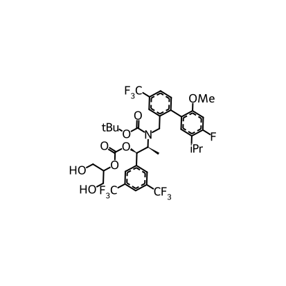 COc1cc(F)c(C(C)C)cc1-c1ccc(C(F)(F)F)cc1CN(C(=O)OC(C)(C)C)[C@@H](C)[C@H](OC(=O)OC(CO)CO)c1cc(C(F)(F)F)cc(C(F)(F)F)c1